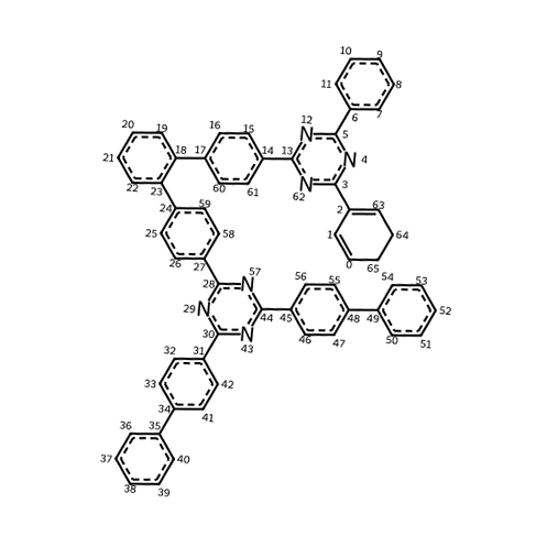 C1=CC(c2nc(-c3ccccc3)nc(-c3ccc(-c4ccccc4-c4ccc(-c5nc(-c6ccc(-c7ccccc7)cc6)nc(-c6ccc(-c7ccccc7)cc6)n5)cc4)cc3)n2)=CCC1